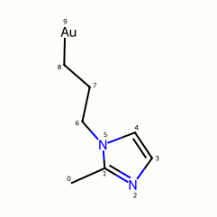 Cc1nccn1CC[CH2][Au]